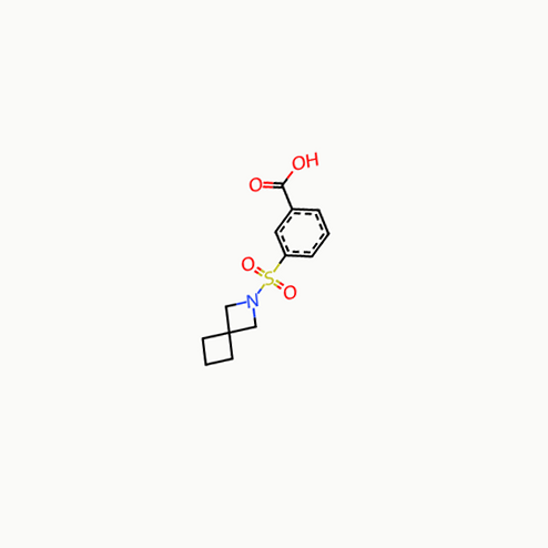 O=C(O)c1cccc(S(=O)(=O)N2CC3(CCC3)C2)c1